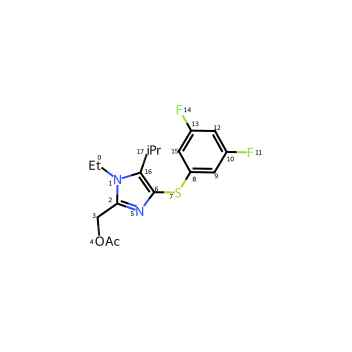 CCn1c(COC(C)=O)nc(Sc2cc(F)cc(F)c2)c1C(C)C